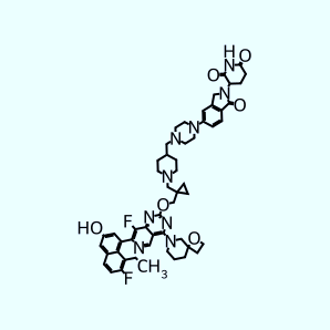 CCc1c(F)ccc2cc(O)cc(-c3ncc4c(N5CCCC6(CCO6)C5)nc(OCC5(CN6CCC(CN7CCN(c8ccc9c(c8)CN(C8CCC(=O)NC8=O)C9=O)CC7)CC6)CC5)nc4c3F)c12